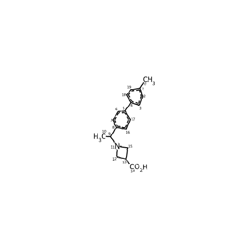 Cc1ccc(-c2ccc(C(C)N3CC(C(=O)O)C3)cc2)cc1